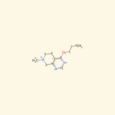 CCCOc1ncnc2c1CCN(C)C2